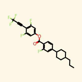 CCCC1CCC(c2ccc(C(=O)Oc3cc(F)c(C#CC(F)(F)F)c(F)c3)c(F)c2)CC1